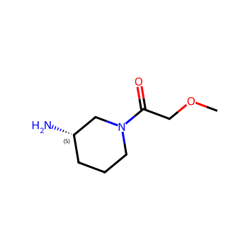 COCC(=O)N1CCC[C@H](N)C1